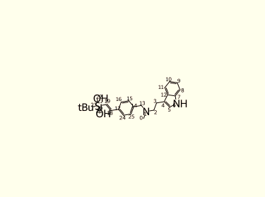 CN(CCc1c[nH]c2ccccc12)Cc1ccc(C=C[Si](O)(O)C(C)(C)C)cc1